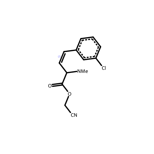 CNC(/C=C\c1cccc(Cl)c1)C(=O)OCC#N